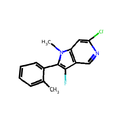 Cc1ccccc1-c1c(F)c2cnc(Cl)cc2n1C